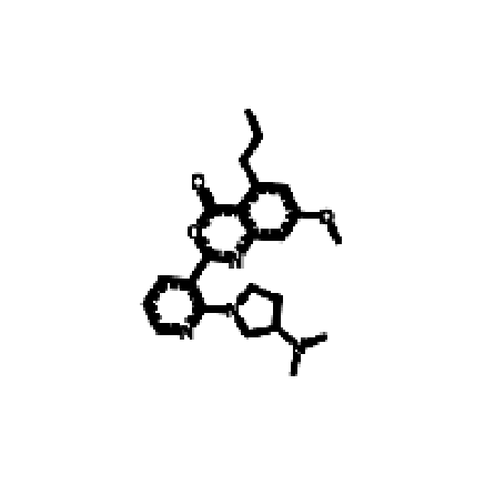 CCCc1cc(OC)cc2nc(-c3cccnc3N3CC[C@@H](N(C)C)C3)oc(=O)c12